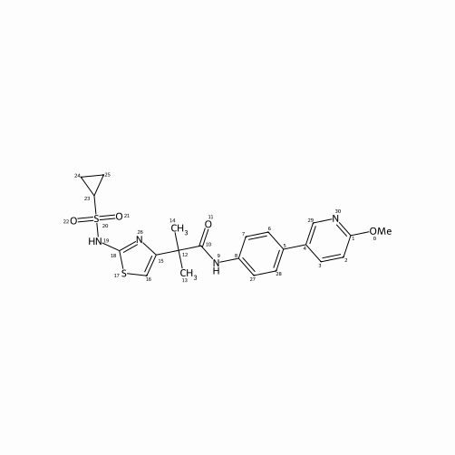 COc1ccc(-c2ccc(NC(=O)C(C)(C)c3csc(NS(=O)(=O)C4CC4)n3)cc2)cn1